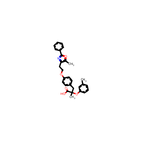 Cc1cccc(OC(C)(Cc2ccc(OCCc3nc(-c4ccccc4)oc3C)cc2)C(=O)O)c1